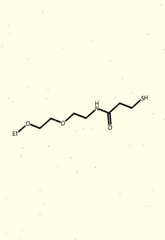 CCOCCOCCNC(=O)CCS